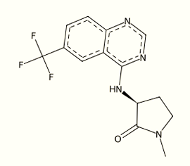 CN1CC[C@H](Nc2ncnc3ccc(C(F)(F)F)cc23)C1=O